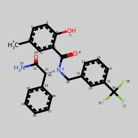 Cc1ccc(O)c(C(=O)N(Cc2cccc(C(F)(F)F)c2)[C@@H](C(N)=O)c2ccccc2)c1